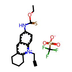 C#CC[n+]1c2c(cc3cc(NC(=S)OCC)ccc31)CCCC2.O=S(=O)([O-])C(F)(F)F